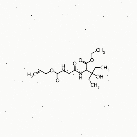 C=CCOC(=O)NCC(=O)NC(C(=O)OCC)C(O)(CC)CC